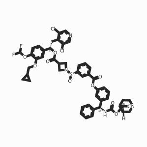 O=C(N[C@@H](c1ccccc1)c1cccc(OC(=O)c2cccc([S+]([O-])N3CC(C(=O)O[C@@H](Cc4c(Cl)cncc4Cl)c4ccc(OC(F)F)c(OCC5CC5)c4)C3)c2)c1)O[C@H]1CN2CCC1CC2